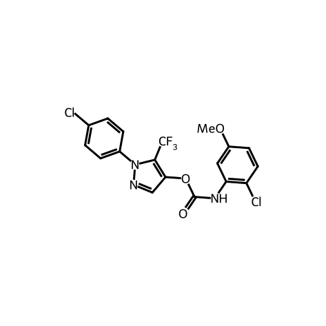 COc1ccc(Cl)c(NC(=O)Oc2cnn(-c3ccc(Cl)cc3)c2C(F)(F)F)c1